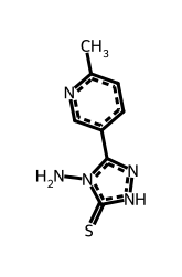 Cc1ccc(-c2n[nH]c(=S)n2N)cn1